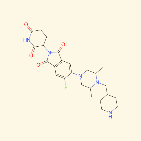 CC1CN(c2cc3c(cc2F)C(=O)N(C2CCC(=O)NC2=O)C3=O)CC(C)N1CC1CCNCC1